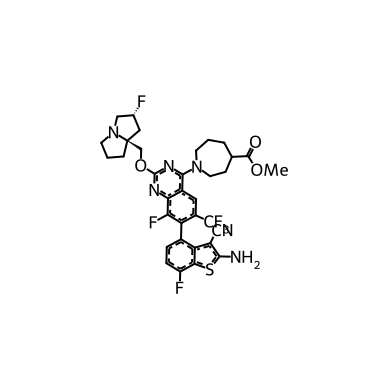 COC(=O)C1CCCN(c2nc(OC[C@@]34CCCN3C[C@H](F)C4)nc3c(F)c(-c4ccc(F)c5sc(N)c(C#N)c45)c(C(F)(F)F)cc23)CC1